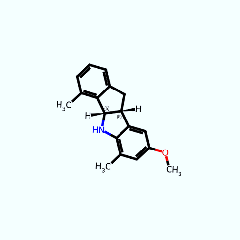 COc1cc(C)c2c(c1)[C@H]1Cc3cccc(C)c3[C@H]1N2